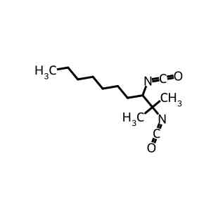 CCCCCCCC(N=C=O)C(C)(C)N=C=O